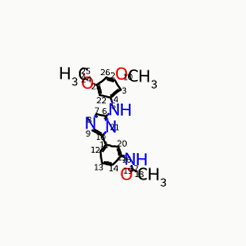 COc1cc(Nc2cncc(-c3cccc(NC(C)=O)c3)n2)cc(OC)c1